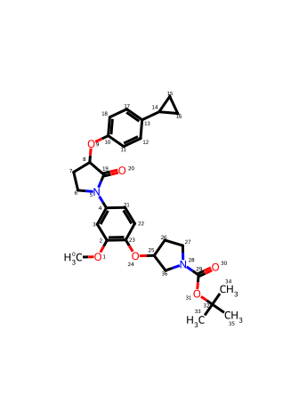 COc1cc(N2CCC(Oc3ccc(C4CC4)cc3)C2=O)ccc1OC1CCN(C(=O)OC(C)(C)C)C1